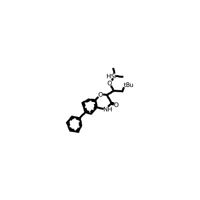 C[SiH](C)OC(CC(C)(C)C)C1Oc2ccc(-c3ccccc3)cc2NC1=O